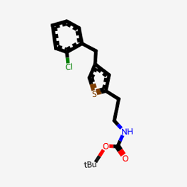 CC(C)(C)OC(=O)NCCc1cc(Cc2ccccc2Cl)cs1